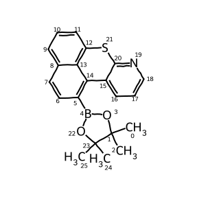 CC1(C)OB(c2ccc3cccc4c3c2-c2cccnc2S4)OC1(C)C